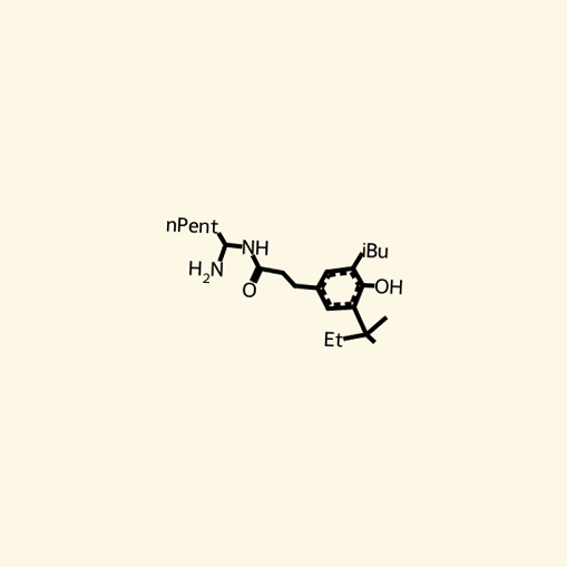 CCCCCC(N)NC(=O)CCc1cc(C(C)CC)c(O)c(C(C)(C)CC)c1